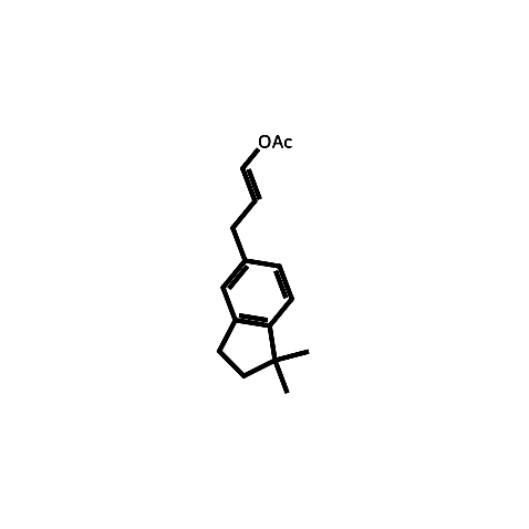 CC(=O)O/C=C/Cc1ccc2c(c1)CCC2(C)C